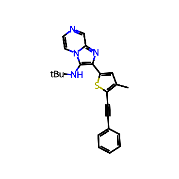 Cc1cc(-c2nc3cnccn3c2NC(C)(C)C)sc1C#Cc1ccccc1